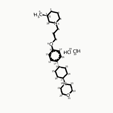 C[C@H]1CCCN(CCCOc2ccc([C@H]3CC[C@H](N4CCOCC4)CC3)cc2)C1.Cl.Cl